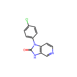 O=c1[nH]c2cnccc2n1-c1ccc(Cl)cc1